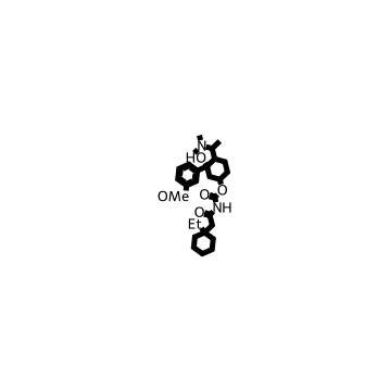 CCC1(CC(=O)NC(=O)OC2CCC(C(C)N(C)C)C(O)(c3cccc(OC)c3)C2)CCCCC1